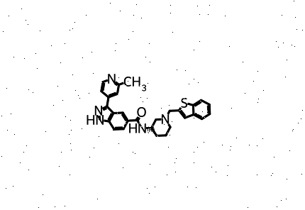 Cc1cc(-c2n[nH]c3ccc(C(=O)N[C@@H]4CCCN(Cc5cc6ccccc6s5)C4)cc23)ccn1